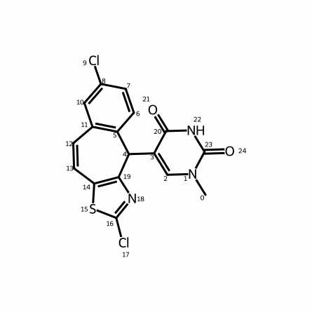 Cn1cc(C2c3ccc(Cl)cc3C=Cc3sc(Cl)nc32)c(=O)[nH]c1=O